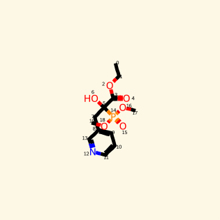 CCOC(=O)C(O)(Cc1cccnc1)P(=O)(OC)OC